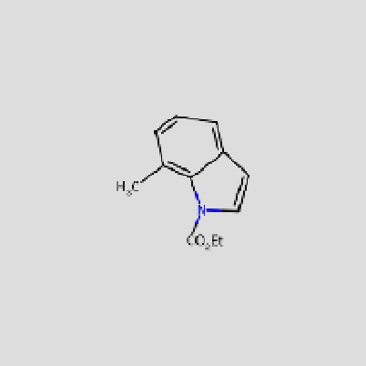 CCOC(=O)n1ccc2cccc(C)c21